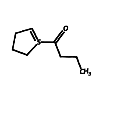 CCCC(=O)S1=CCCC1